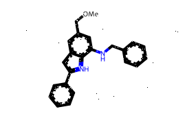 COCc1cc(NCc2ccccc2)c2[nH]c(-c3ccccc3)cc2c1